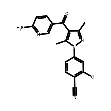 Bc1ccc(C(=O)c2c(C)nn(-c3ccc(C#N)c(Cl)c3)c2C)cn1